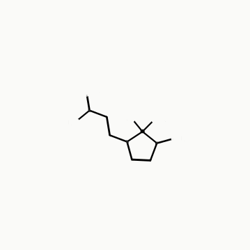 CC(C=O)CCC1CCC(C)C1(C)C